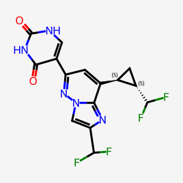 O=c1[nH]cc(-c2cc([C@H]3C[C@@H]3C(F)F)c3nc(C(F)F)cn3n2)c(=O)[nH]1